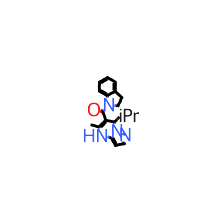 CC1=C(C(=O)N2CCc3ccccc32)C(C(C)C)n2nccc2N1